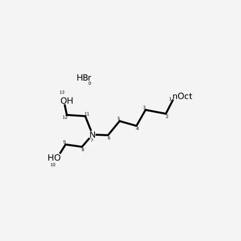 Br.CCCCCCCCCCCCCN(CCO)CCO